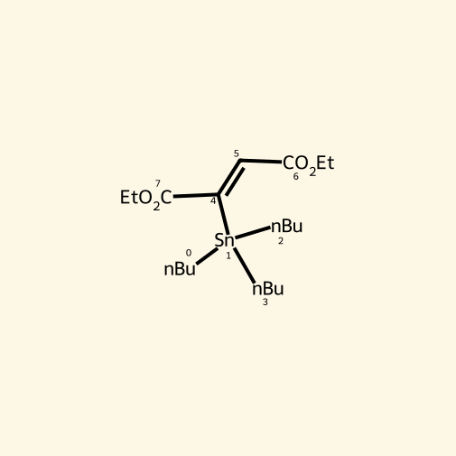 CCC[CH2][Sn]([CH2]CCC)([CH2]CCC)/[C](=C\C(=O)OCC)C(=O)OCC